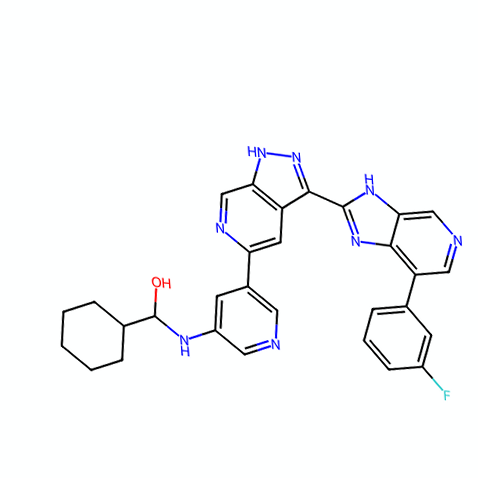 OC(Nc1cncc(-c2cc3c(-c4nc5c(-c6cccc(F)c6)cncc5[nH]4)n[nH]c3cn2)c1)C1CCCCC1